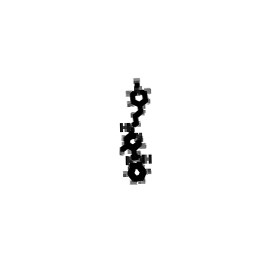 Cc1cc(NCCCC2CCN(C)CC2)ncc1-c1nc2ccccc2[nH]1